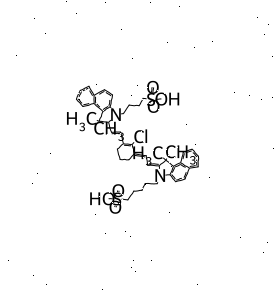 CC1(C)/C(=C\C=C2/CCCC(/C=C/C3N(CCCCS(=O)(=O)O)c4ccc5ccccc5c4C3(C)C)=C2Cl)N(CCCCCS(=O)(=O)O)c2ccc3ccccc3c21